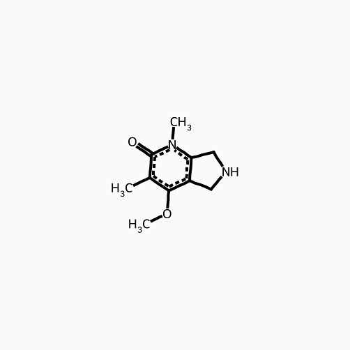 COc1c2c(n(C)c(=O)c1C)CNC2